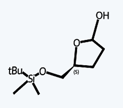 CC(C)(C)[Si](C)(C)OC[C@@H]1CCC(O)O1